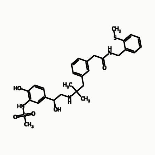 CSc1ccccc1CNC(=O)Cc1cccc(CC(C)(C)NC[C@@H](O)c2ccc(O)c(NS(C)(=O)=O)c2)c1